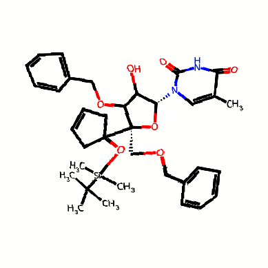 Cc1cn([C@@H]2O[C@@](COCc3ccccc3)(C3(O[Si](C)(C)C(C)(C)C)CC=CC3)C(OCc3ccccc3)C2O)c(=O)[nH]c1=O